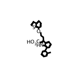 Cc1ccccc1-c1cccc2c(CCCOc3cccc4ccsc34)c(C(=O)O)[nH]c12